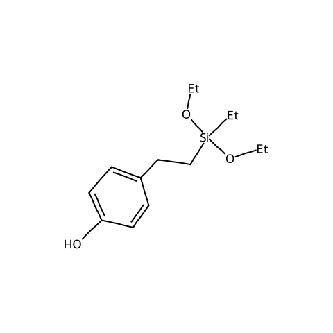 CCO[Si](CC)(CCc1ccc(O)cc1)OCC